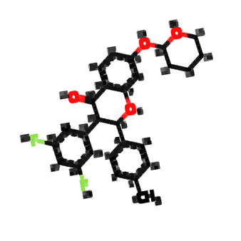 Cc1ccc(C2Oc3cc(OC4CCCCO4)ccc3C(=O)C2c2cc(F)cc(F)c2)cc1